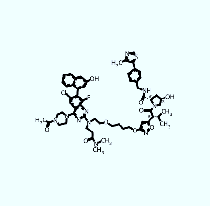 CC(=O)N1CCN(c2nc(N(CCOCCCCOc3cc([C@H](C(=O)N4C[C@H](O)C[C@H]4C(=O)NCc4ccc(-c5scnc5C)cc4)C(C)C)on3)CCC(=O)N(C)C)nc3c(F)c(-c4cc(O)cc5ccccc45)c(Cl)cc23)CC1